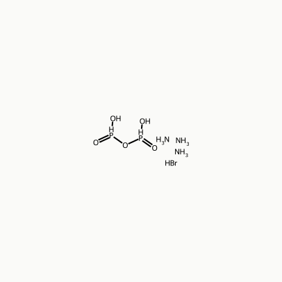 Br.N.N.N.O=[PH](O)O[PH](=O)O